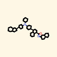 c1ccc(N(c2ccc(-c3ccc4ccccc4c3)cc2)c2ccc(-c3ccc(-c4nc5ccc6ccccc6c5o4)c4ccccc34)cc2)cc1